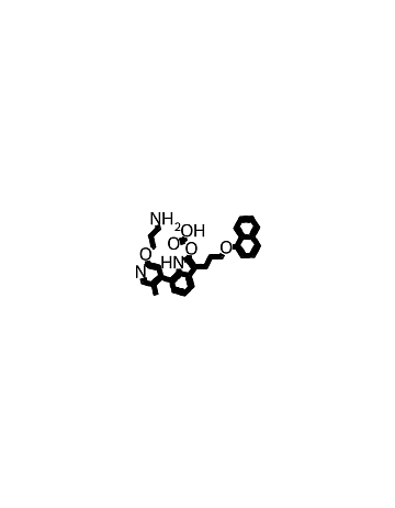 Cc1cnc(OCCCN)cc1-c1cccc2c(CCCOc3cccc4ccccc34)c(OC(=O)O)[nH]c12